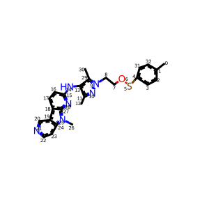 Cc1ccc(SOCCn2nc(C)c(Nc3ccc4c5cnccc5n(C)c4n3)c2C)cc1